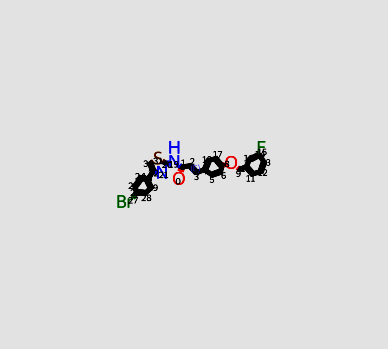 O=C(/C=C/c1ccc(OCc2cccc(F)c2)cc1)Nc1nc(-c2ccc(Br)cc2)cs1